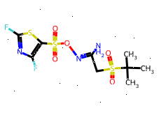 CC(C)(C)S(=O)(=O)CC(N)=NOS(=O)(=O)c1sc(F)nc1F